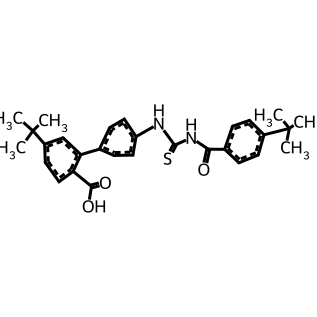 CC(C)(C)c1ccc(C(=O)NC(=S)Nc2ccc(-c3cc(C(C)(C)C)ccc3C(=O)O)cc2)cc1